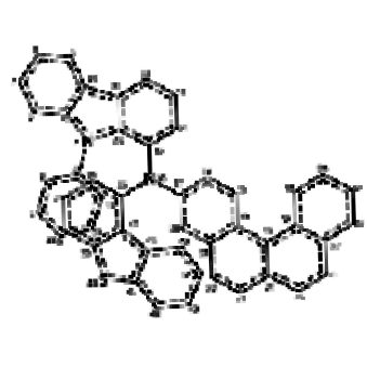 c1ccc(-n2c3ccccc3c3cccc(N(c4ccc5c(ccc6ccc7ccccc7c65)c4)c4cccc5sc6ccccc6c45)c32)cc1